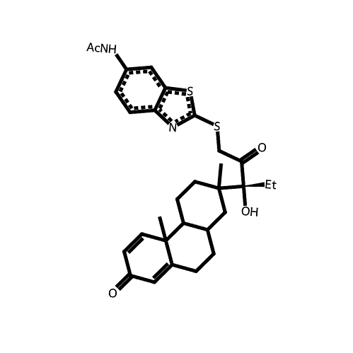 CC[C@](O)(C(=O)CSc1nc2ccc(NC(C)=O)cc2s1)C1(C)CCC2C(CCC3=CC(=O)C=CC32C)C1